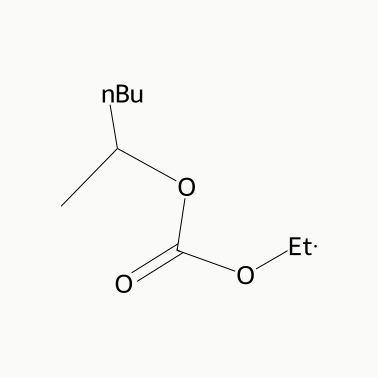 C[CH]OC(=O)OC(C)CCCC